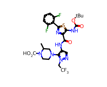 CC1CN(c2c(NC(=O)c3nc(-c4c(F)cccc4F)sc3NC(=O)OC(C)(C)C)cnn2CC(F)(F)F)CCN1C(=O)O